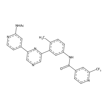 CC(=O)Nc1cc(-c2cncc(-c3cc(NC(=O)c4ccnc(C(F)(F)F)c4)ccc3C)n2)ccn1